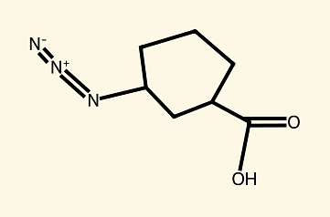 [N-]=[N+]=NC1CCCC(C(=O)O)C1